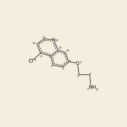 NCCOc1ccc2c(Cl)ccnc2c1